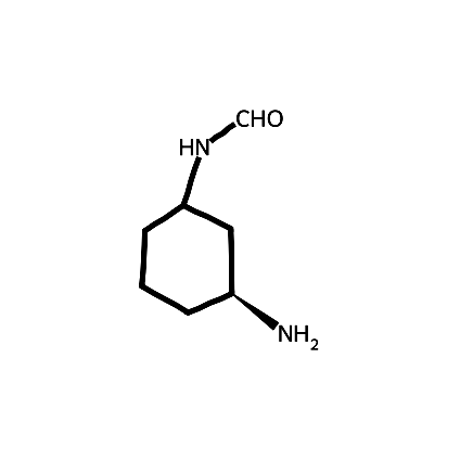 N[C@H]1CCCC(NC=O)C1